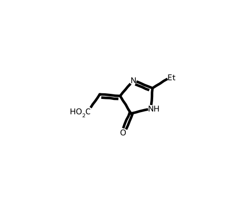 CCC1=N/C(=C/C(=O)O)C(=O)N1